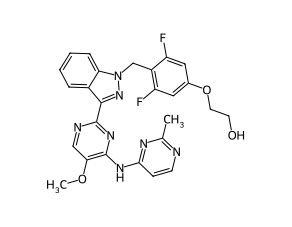 COc1cnc(-c2nn(Cc3c(F)cc(OCCO)cc3F)c3ccccc23)nc1Nc1ccnc(C)n1